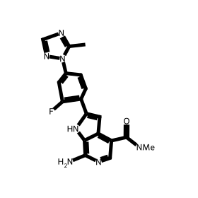 CNC(=O)c1cnc(N)c2[nH]c(-c3ccc(-n4ncnc4C)cc3F)cc12